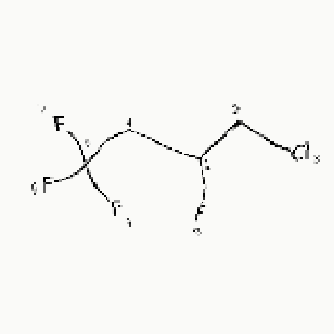 FC(CCl)CC(F)(F)F